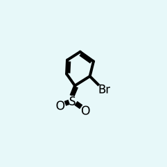 O=S(=O)=C1C=CC=CC1Br